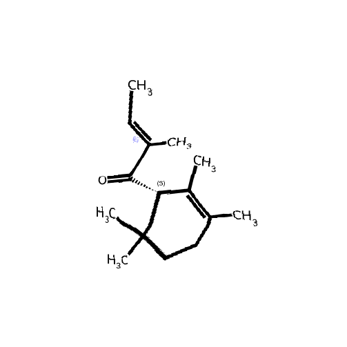 C/C=C(\C)C(=O)[C@@H]1C(C)=C(C)CCC1(C)C